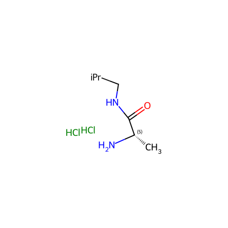 CC(C)CNC(=O)[C@H](C)N.Cl.Cl